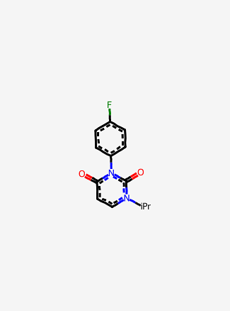 CC(C)n1ccc(=O)n(-c2ccc(F)cc2)c1=O